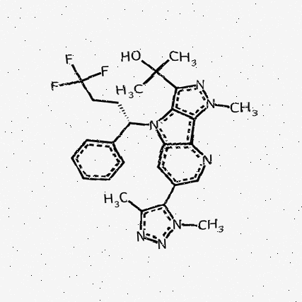 Cc1nnn(C)c1-c1cnc2c3c(c(C(C)(C)O)nn3C)n([C@@H](CCC(F)(F)F)c3ccccc3)c2c1